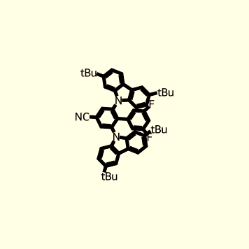 CC(C)(C)c1ccc2c(c1)c1ccc(C(C)(C)C)cc1n2-c1cc(C#N)cc(-n2c3ccc(C(C)(C)C)cc3c3ccc(C(C)(C)C)cc32)c1-c1cc(F)cc(F)c1